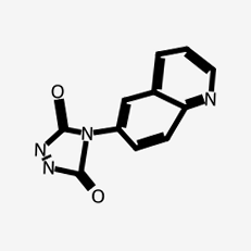 O=C1N=NC(=O)N1c1ccc2ncccc2c1